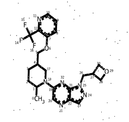 CC1CCC(COc2cccnc2C(F)(F)F)CN1c1cnc2cnn(CC3COC3)c2n1